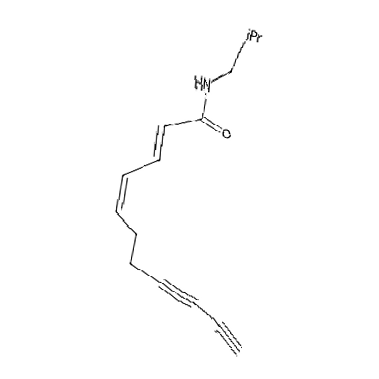 C#CC#CCC/C=C\C=C\C(=O)NCC(C)C